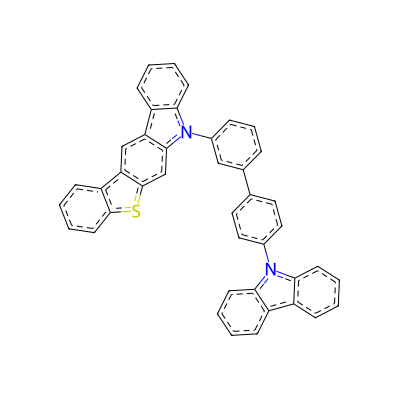 c1cc(-c2ccc(-n3c4ccccc4c4ccccc43)cc2)cc(-n2c3ccccc3c3cc4c(cc32)sc2ccccc24)c1